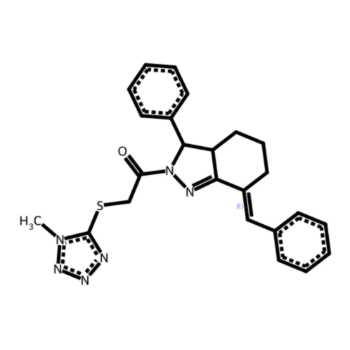 Cn1nnnc1SCC(=O)N1N=C2/C(=C/c3ccccc3)CCCC2C1c1ccccc1